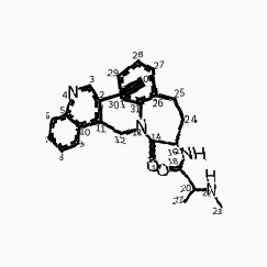 C#Cc1cnc2ccccc2c1CN1C(=O)[C@@H](NC(=O)C(C)NC)CCc2ccccc21